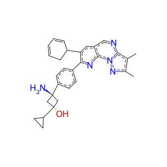 Cc1nn2c(ncc3cc(C4C=CC=CC4)c(-c4ccc([C@]5(N)C[C@@](O)(C6CC6)C5)cc4)nc32)c1C